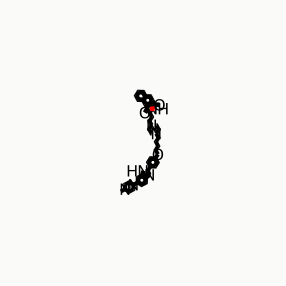 CN1CCN(c2ccc3nc(-c4ccc(OCCCCN5CCN(CCCCc6c7cc8ccccc8c6C(=O)NC7=O)CC5)cc4)[nH]c3c2)CC1